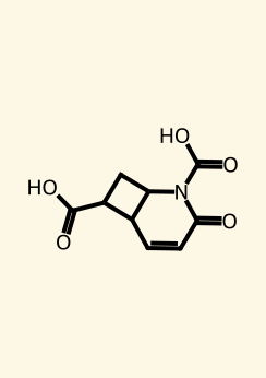 O=C(O)C1CC2C1C=CC(=O)N2C(=O)O